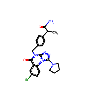 CC(C(N)=O)c1ccc(Cn2c(=O)c3cc(Br)ccc3n3c(N4CCCC4)nnc23)cc1